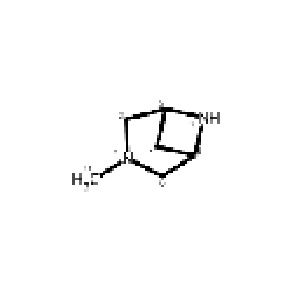 CN1C[C]2CC(C1)N2